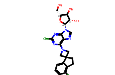 OC[C@H]1O[C@@H](n2cnc3c(N4CC5(CCc6c(F)cccc65)C4)nc(Cl)nc32)[C@@H](O)C1O